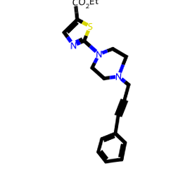 CCOC(=O)c1cnc(N2CCN(CC#Cc3ccccc3)CC2)s1